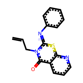 C=CCn1c(=O)c2cccnc2s/c1=N\c1ccccc1